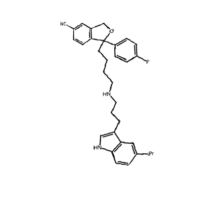 CC(C)c1ccc2[nH]cc(CCCNCCCCC3(c4ccc(F)cc4)OCc4cc(C#N)ccc43)c2c1